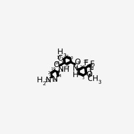 COc1ccc(NC(=O)c2ccc(C)c(C(=O)Nc3ccc(N)nc3)c2)cc1C(F)(F)F